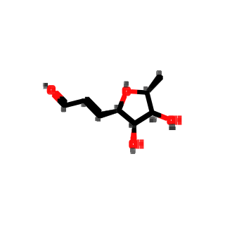 C[C@@H]1O[C@H](/C=C/C=O)[C@H](O)C1O